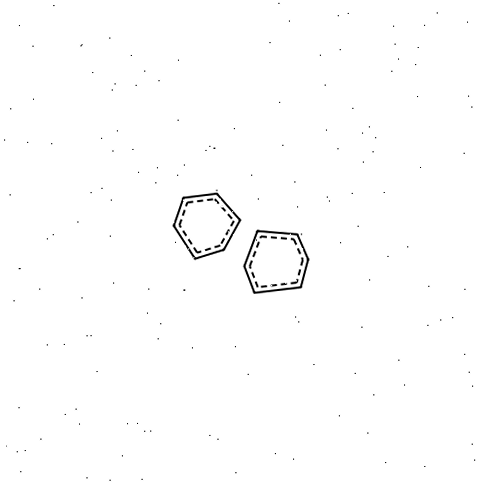 [c]1ccccc1.[c]1ccccc1